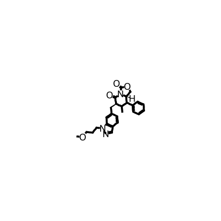 COCCCn1ncc2ccc(C[C@H]3C(=O)N4C(=O)OC[C@H]4C(c4ccccc4)C3C)cc21